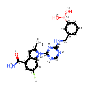 Cc1cc2c(C(N)=O)cc(F)cc2n1-c1ncnc(NCc2cccc(B(O)O)c2)n1